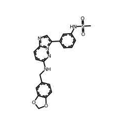 CS(=O)(=O)Nc1cccc(-c2cnc3ccc(NCc4ccc5c(c4)OCO5)nn23)c1